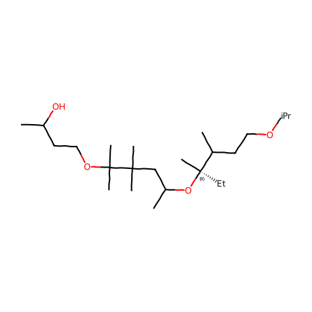 CC[C@@](C)(OC(C)CC(C)(C)C(C)(C)OCCC(C)O)C(C)CCOC(C)C